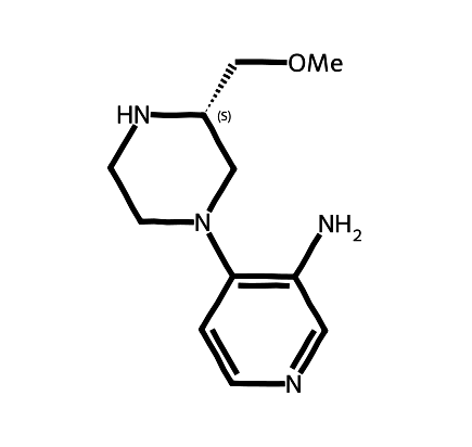 COC[C@@H]1CN(c2ccncc2N)CCN1